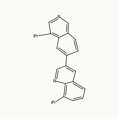 CC(C)c1cncc2ccc(-c3cnc4c(C(C)C)cccc4c3)cc12